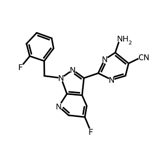 N#Cc1cnc(-c2nn(Cc3ccccc3F)c3ncc(F)cc23)nc1N